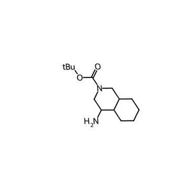 CC(C)(C)OC(=O)N1CC(N)C2CCCCC2C1